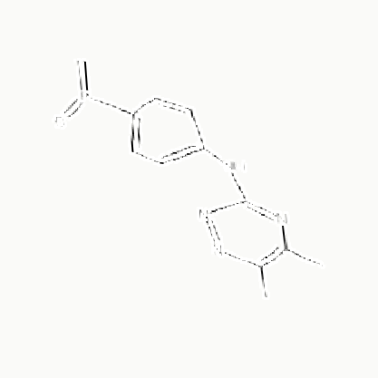 C=P(=O)c1ccc(Nc2nnc(C)c(C)n2)cc1